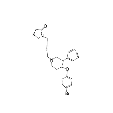 O=C1CSCN1CC#CCN1CCC(Oc2ccc(Br)cc2)C(c2ccccc2)C1